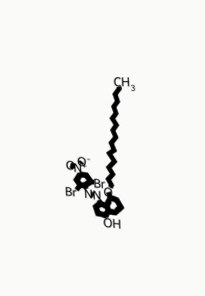 CCCCCCCCCCCCCCCCCCOc1cccc2c(O)ccc(N=Nc3c(Br)cc([N+](=O)[O-])cc3Br)c12